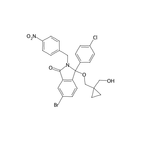 O=C1c2cc(Br)ccc2C(OCC2(CO)CC2)(c2ccc(Cl)cc2)N1Cc1ccc([N+](=O)[O-])cc1